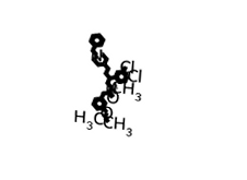 CC(C)Oc1cccc(CC(=O)N(C)CC(CCC2CCN(Cc3ccccc3)CC2)c2ccc(Cl)c(Cl)c2)c1